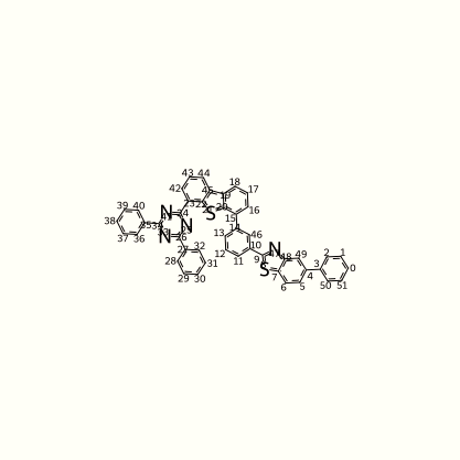 c1ccc(-c2ccc3sc(-c4cccc(-c5cccc6c5sc5c(-c7nc(-c8ccccc8)nc(-c8ccccc8)n7)cccc56)c4)nc3c2)cc1